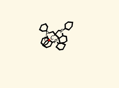 CC(CP(C1CCCCC1)C1CCCCC1)(CP(C1CCCCC1)C1CCCCC1)CP(C1CCCCC1)C1CCCCC1